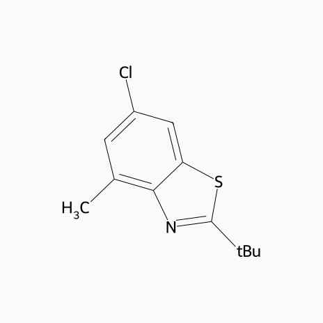 Cc1cc(Cl)cc2sc(C(C)(C)C)nc12